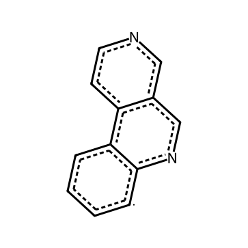 [c]1cccc2c1ncc1cnccc12